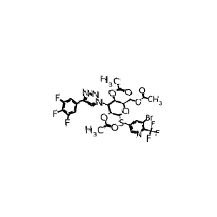 CC(=O)OC[C@H]1O[C@H](Sc2cnc(C(F)(F)F)c(Br)c2)[C@H](OC(C)=O)[C@@H](n2cc(-c3cc(F)c(F)c(F)c3)nn2)[C@H]1OC(C)=O